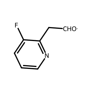 O=[C]Cc1ncccc1F